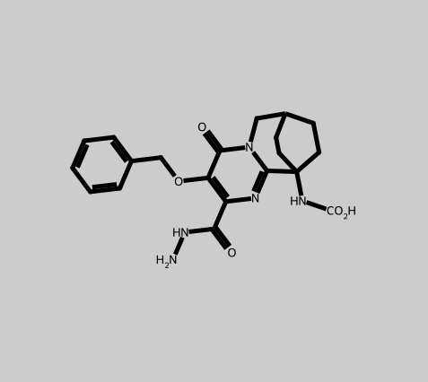 NNC(=O)c1nc2n(c(=O)c1OCc1ccccc1)CC1CCC2(NC(=O)O)CC1